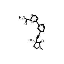 CN1CC[C@@](O)(C#Cc2cccc(-c3ccnc(C(N)=O)n3)c2)C1=O